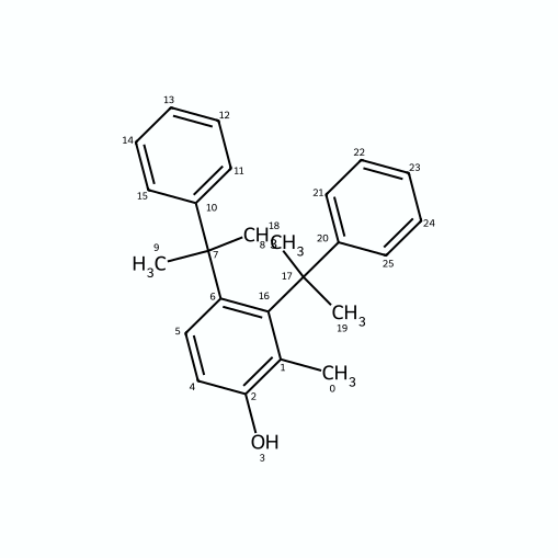 Cc1c(O)ccc(C(C)(C)c2ccccc2)c1C(C)(C)c1ccccc1